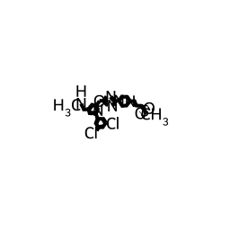 CNCc1cc(Oc2cnc(N3CCN(CCCS(C)(=O)=O)CC3)nc2)nc(-c2cc(Cl)cc(Cl)c2)c1